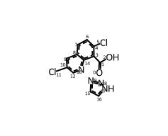 O=C(O)c1c(Cl)ccc2cc(Cl)cnc12.c1c[nH]nn1